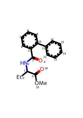 CCC(NC(=O)c1ccccc1-c1ccccc1)C(=O)OC